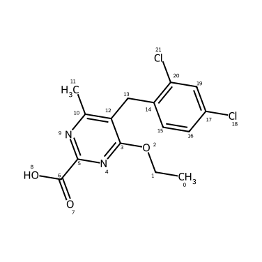 CCOc1nc(C(=O)O)nc(C)c1Cc1ccc(Cl)cc1Cl